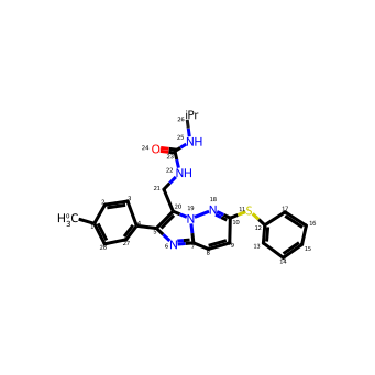 Cc1ccc(-c2nc3ccc(Sc4ccccc4)nn3c2CNC(=O)NC(C)C)cc1